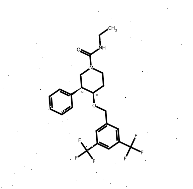 CCNC(=O)N1CC[C@@H](OCc2cc(C(F)(F)F)cc(C(F)(F)F)c2)[C@@H](c2ccccc2)C1